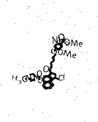 COC(=O)c1cc(OC)c(OCCCCCC(=O)C2CC(CCl)c3c2cc(OC(=O)N2CCN(C)CC2)c2ccccc32)cc1N